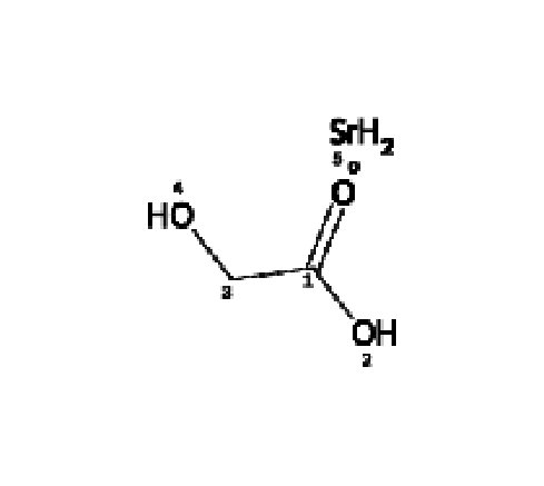 O=C(O)CO.[SrH2]